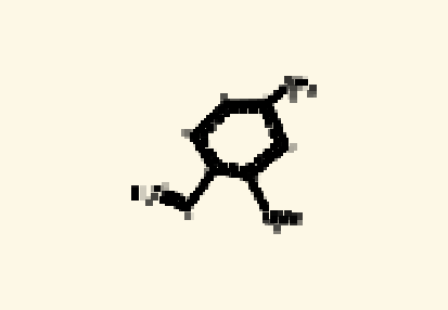 C=Cc1ccc(N)cc1OC